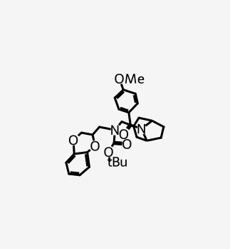 COc1ccc(C(=O)N2C3CCC2CC(CN(CC2COc4ccccc4O2)C(=O)OC(C)(C)C)C3)cc1